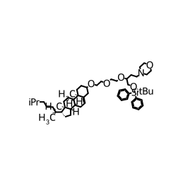 CC(C)CCC[C@@H](C)[C@H]1CC[C@H]2[C@@H]3CC=C4CC(OCCOCCOC(CCN5CCOCC5)CO[Si](c5ccccc5)(c5ccccc5)C(C)(C)C)CC[C@]4(C)[C@H]3CC[C@]12C